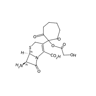 N[C@@H]1C(=O)N2C(C(=O)O)=C(C3(OC(=O)CO)C(=O)CCCCC3=O)CS[C@H]12